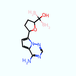 BC(B)(O)C1CCC(c2ccc3c(N)ncnn23)O1